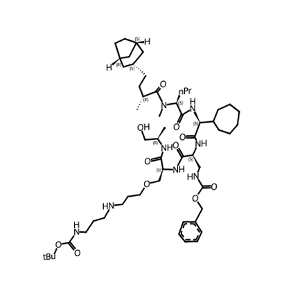 CCC[C@@H](C(=O)N[C@H](C(=O)N[C@@H](CNC(=O)OCc1ccccc1)C(=O)N[C@@H](COCCCNCCCNC(=O)OC(C)(C)C)C(=O)N[C@H](C)CO)C1CCCCCC1)N(C)C(=O)[C@H](C)CC[C@@H]1C[C@@H]2CC[C@@H](C2)C1